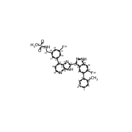 Cc1ccncc1-c1cc2c(-c3nc4c(-c5cc(F)cc(CNS(C)(=O)=O)c5)ccnc4[nH]3)n[nH]c2cc1F